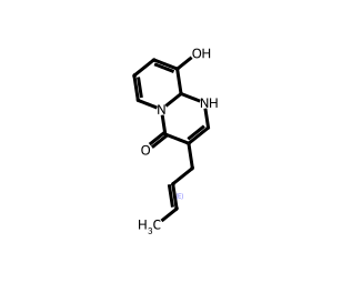 C/C=C/CC1=CNC2C(O)=CC=CN2C1=O